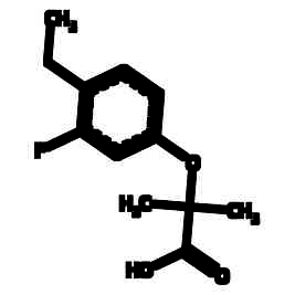 CCc1ccc(OC(C)(C)C(=O)O)cc1F